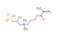 C=C(C)C(=O)OCCC[N+](C)(C)CC(O)CS(=O)(=O)[O-]